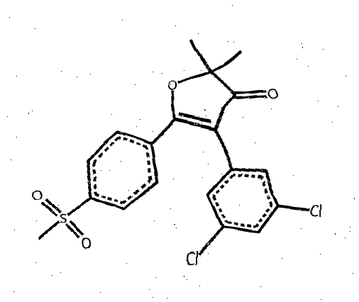 CC1(C)OC(c2ccc(S(C)(=O)=O)cc2)=C(c2cc(Cl)cc(Cl)c2)C1=O